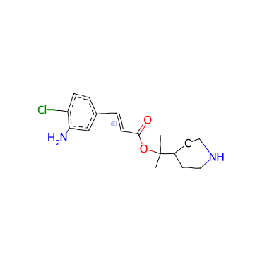 CC(C)(OC(=O)/C=C/c1ccc(Cl)c(N)c1)C1CCNCC1